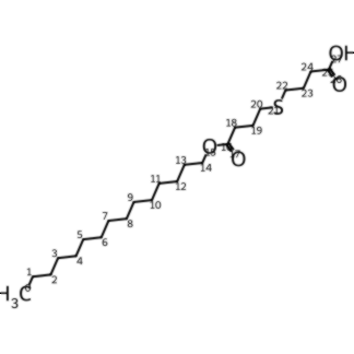 CCCCCCCCCCCCCCCOC(=O)CCCSCCCC(=O)O